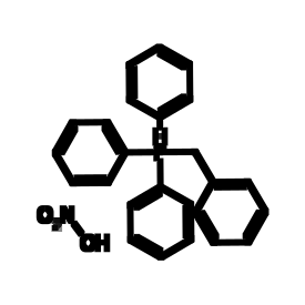 O=[N+]([O-])O.c1ccc(C[PH](c2ccccc2)(c2ccccc2)c2ccccc2)cc1